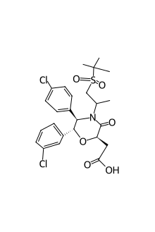 CC(CS(=O)(=O)C(C)(C)C)N1C(=O)[C@@H](CC(=O)O)O[C@H](c2cccc(Cl)c2)[C@H]1c1ccc(Cl)cc1